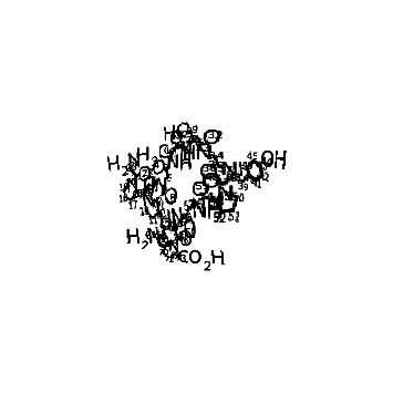 C[C@H](NC(=O)CNC(=O)[C@@H]1CCCN1C(=O)[C@@H]1CCCN1C(=O)CN)C(=O)N[C@@H](CO)C(=O)NCC(=O)N[C@@H](Cc1ccc(O)cc1)C(=O)N1CCC[C@H]1C(=O)NCC(=O)N[C@@H](CC(N)=O)C(=O)N1CCC[C@H]1C(=O)O